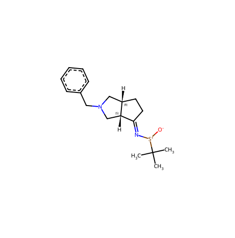 CC(C)(C)[S+]([O-])N=C1CC[C@H]2CN(Cc3ccccc3)C[C@@H]12